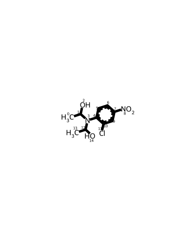 CC(O)N(c1ccc([N+](=O)[O-])cc1Cl)C(C)O